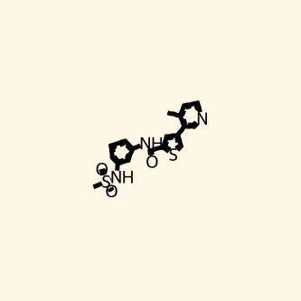 Cc1ccncc1-c1csc(C(=O)Nc2cccc(NS(C)(=O)=O)c2)c1